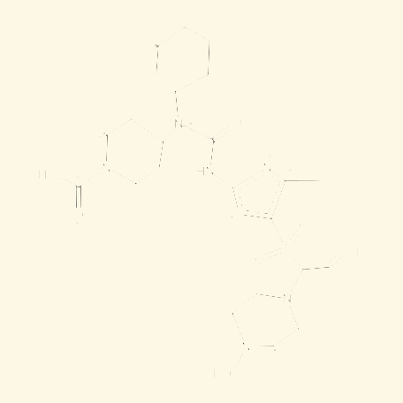 C=CC(N1CCN(C)CC1)S(=O)(=O)c1sc(NC(=O)N(C2CCCCC2)C2CCN(C(C)=O)CC2)nc1C